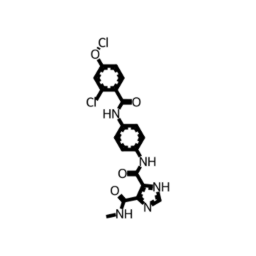 CNC(=O)c1nc[nH]c1C(=O)Nc1ccc(NC(=O)c2ccc(OCl)cc2Cl)cc1